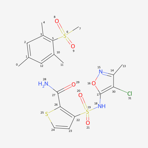 Cc1cc(C)c(S(C)(=O)=O)c(C)c1.Cc1noc(NS(=O)(=O)c2ccsc2C(N)=O)c1Cl